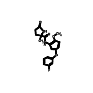 COc1ccc(Oc2cccc(F)c2)cc1NC(=O)C1(C)CCC(=O)N1